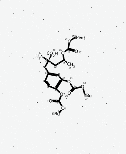 CCCCOC(=O)Oc1ccc(C[C@](N)(C[C@H](C)OC(=O)OC(C)CCC)C(=O)O)cc1OC(=O)OCCCC